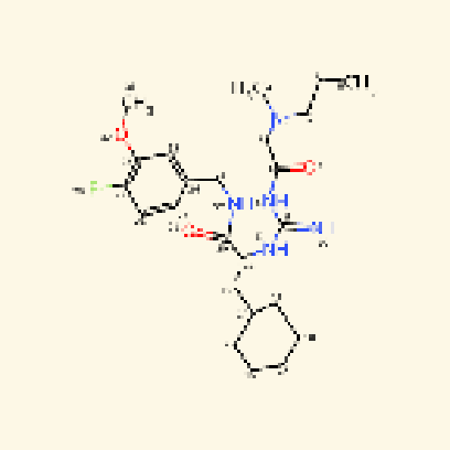 CCCN(C)CC(=O)NC(=N)N[C@H](CC1CCCCC1)C(=O)NCc1ccc(F)c(OC)c1